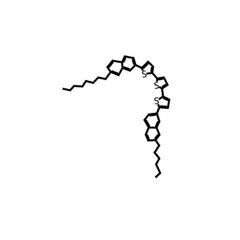 CCCCCCCCc1ccc2ccc(-c3ccc(-c4ccc(-c5ccc(-c6ccc7ccc(CCCCCC)cc7c6)s5)s4)s3)cc2c1